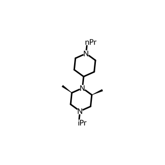 CCCN1CCC(N2[C@H](C)CN(C(C)C)C[C@@H]2C)CC1